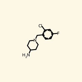 NC1CCN(Cc2ccc(F)cc2Cl)CC1